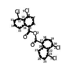 O=C(OC(=O)c1ccc(Cl)c2c(Cl)cccc12)c1ccc(Cl)c2c(Cl)cccc12